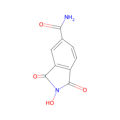 NC(=O)c1ccc2c(c1)C(=O)N(O)C2=O